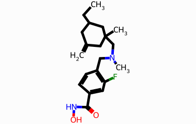 C=C1CC(CC)CC(C)(CN(C)Cc2ccc(C(=O)NO)cc2F)C1